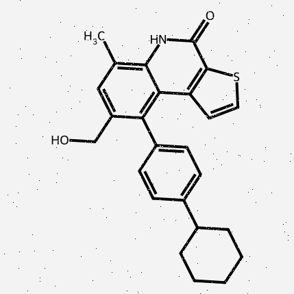 Cc1cc(CO)c(-c2ccc(C3CCCCC3)cc2)c2c1[nH]c(=O)c1sccc12